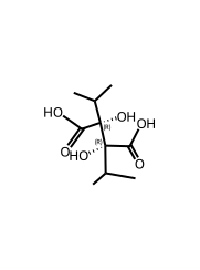 CC(C)[C@](O)(C(=O)O)[C@@](O)(C(=O)O)C(C)C